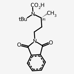 C[C@H](CCN1C(=O)c2ccccc2C1=O)N(C(=O)O)C(C)(C)C